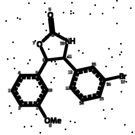 COc1cccc(C2OC(=O)NC2c2cccc(Br)c2)c1